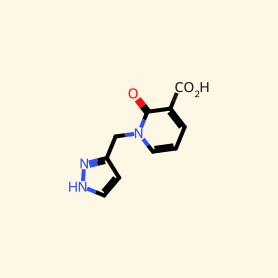 O=C(O)c1cccn(Cc2cc[nH]n2)c1=O